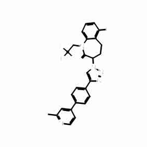 Cc1cc(-c2ccc(-c3cn(C4CCc5c(F)cccc5N(CC(F)(F)F)C4=O)nn3)cc2)ccn1